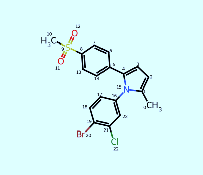 Cc1ccc(-c2ccc(S(C)(=O)=O)cc2)n1-c1ccc(Br)c(Cl)c1